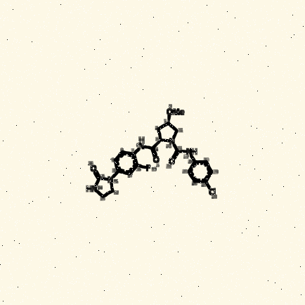 CO[C@@H]1C[C@H](C(=O)Nc2ccc(N3CCNC3=O)cc2F)N(C(=O)Nc2ccc(Cl)cc2)C1